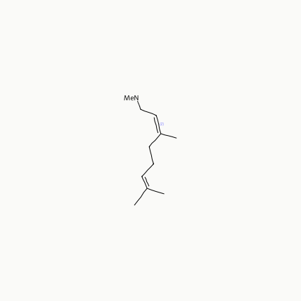 CNC/C=C(/C)CCC=C(C)C